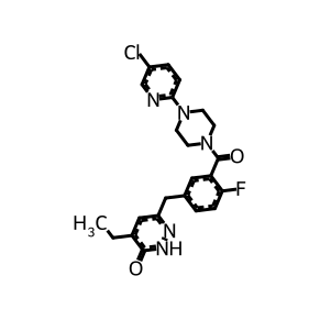 CCc1cc(Cc2ccc(F)c(C(=O)N3CCN(c4ccc(Cl)cn4)CC3)c2)n[nH]c1=O